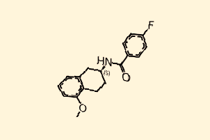 COc1cccc2c1CC[C@H](NC(=O)c1ccc(F)cc1)C2